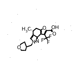 C[C@@H]1Cc2oc(C(=O)O)c(C(F)(F)F)c2-c2nn(CC3CCOCC3)cc21